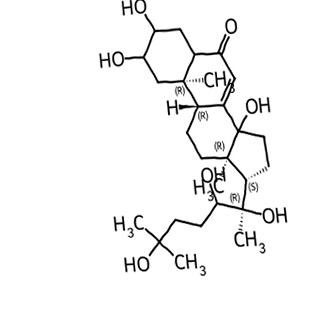 CC(C)(O)CCC(O)[C@](C)(O)[C@H]1CCC2(O)C3=CC(=O)C4CC(O)C(O)C[C@]4(C)[C@H]3CC[C@]12C